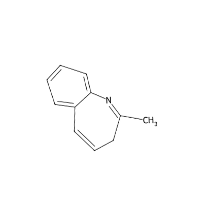 CC1=Nc2ccccc2C=CC1